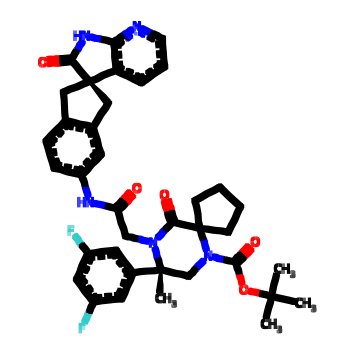 CC(C)(C)OC(=O)N1C[C@](C)(c2cc(F)cc(F)c2)N(CC(=O)Nc2ccc3c(c2)C[C@@]2(C3)C(=O)Nc3ncccc32)C(=O)C12CCCC2